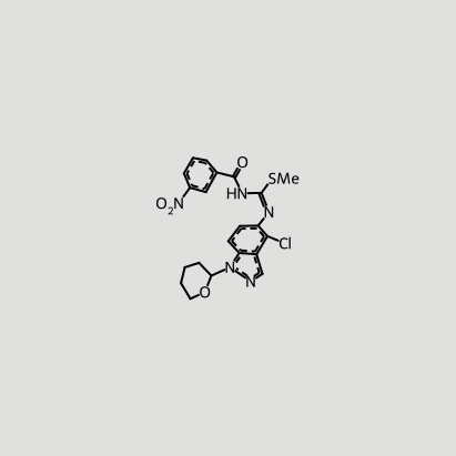 CS/C(=N/c1ccc2c(cnn2C2CCCCO2)c1Cl)NC(=O)c1cccc([N+](=O)[O-])c1